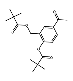 CC(=O)c1ccc(OC(=O)C(C)(C)C)c(COC(=O)C(C)(C)C)c1